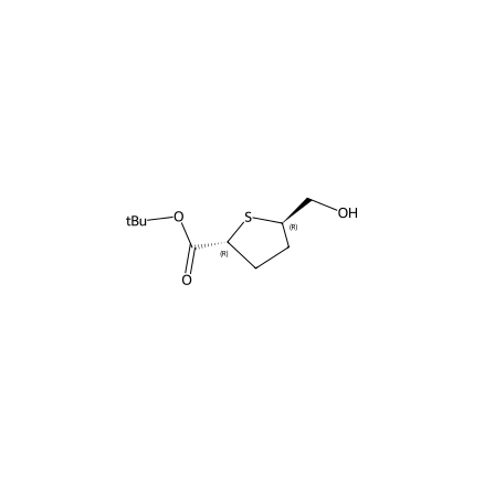 CC(C)(C)OC(=O)[C@H]1CC[C@H](CO)S1